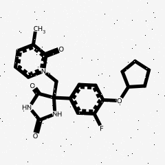 Cc1cccn(CC2(c3ccc(OC4CCCC4)c(F)c3)NC(=O)NC2=O)c1=O